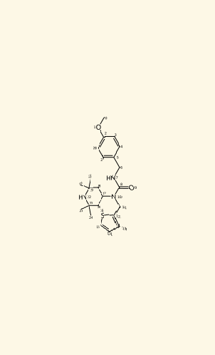 COc1ccc(CNC(=O)N(Cc2cccs2)C2CC(C)(C)NC(C)(C)C2)cc1